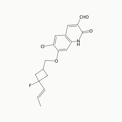 C/C=C/C1(F)CC(COc2cc3[nH]c(=O)c(C=O)cc3cc2Cl)C1